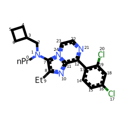 CCCN(CC1CCC1)c1c(CC)nc2c(-c3ccc(Cl)cc3Cl)nccn12